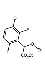 CCOC(=O)C(OCC)c1c(F)ccc(O)c1F